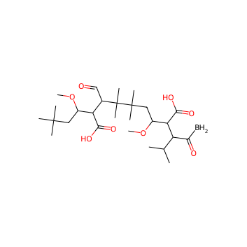 BC(=O)C(C(C)C)C(C(=O)O)C(CC(C)(C)C(C)(C)C(C=O)C(C(=O)O)C(CC(C)(C)C)OC)OC